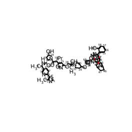 Cc1ncsc1-c1ccc([C@H](C)NC(=O)[C@@H]2C[C@@H](O)CN2C(=O)[C@@H](c2cc(OCC(C)(C)N3CCC(O[C@H]4C[C@H](Oc5cc(N6C7CCC6CN(c6cc(-c8ccccc8O)nnc6N)C7)ccn5)C4)CC3)no2)C(C)C)cn1